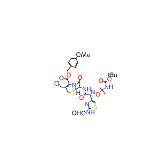 COc1ccc(COC(=O)C2=C(CCl)CS[C@H]3C(NC(=O)C(=NOC(C)(C)NC(=O)OC(C)(C)C)c4csc(NC=O)n4)C(=O)N23)cc1